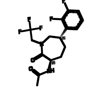 CC(=O)N[C@@H]1CC[C@@H](c2cccc(F)c2F)CN(CC(F)(F)F)C1=O